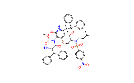 COC(=O)N(C(=O)[C@@H](N)C(c1ccccc1)c1ccccc1)c1c(SC[C@@H](CO[Si](c2ccccc2)(c2ccccc2)C(C)(C)C)N(CCC(C)C)S(=O)(=O)c2ccc([N+](=O)[O-])cc2)cc[nH]c1=O